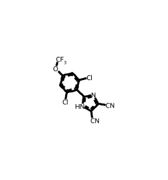 N#Cc1nc(-c2c(Cl)cc(OC(F)(F)F)cc2Cl)[nH]c1C#N